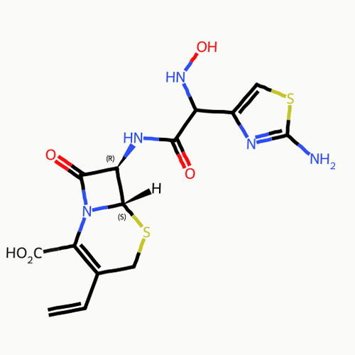 C=CC1=C(C(=O)O)N2C(=O)[C@@H](NC(=O)C(NO)c3csc(N)n3)[C@@H]2SC1